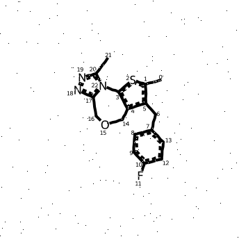 Cc1sc2c(c1Cc1ccc(F)cc1)COCc1nnc(C)n1-2